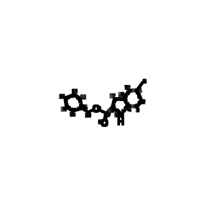 Cc1ccc2[nH]c(C(=O)OCc3ccccc3)cc2c1